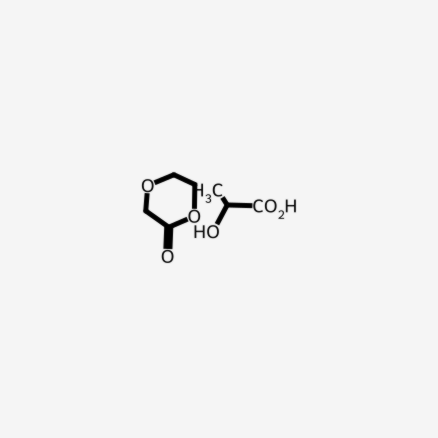 CC(O)C(=O)O.O=C1COCCO1